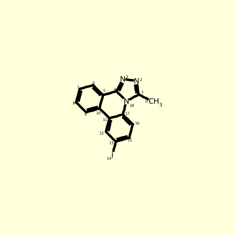 Cc1nnc2c3ccccc3c3cc(I)ccc3n12